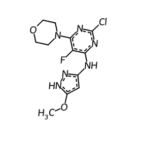 COc1cc(Nc2nc(Cl)nc(N3CCOCC3)c2F)n[nH]1